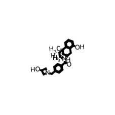 CC1(C)[C@H]2Cc3c(O)cccc3[C@]1(C)CCN2C(=O)c1ccc(CN2CC(O)C2)cc1